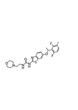 Cc1ccc(F)c(C(C)Oc2ccc3nc(NC(=O)NCCN4CCOCC4)sc3c2)c1F